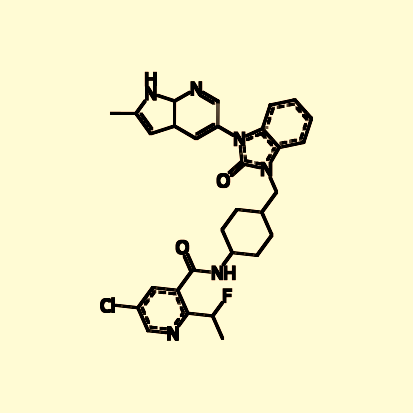 CC1=CC2C=C(n3c(=O)n(CC4CCC(NC(=O)c5cc(Cl)cnc5C(C)F)CC4)c4ccccc43)C=NC2N1